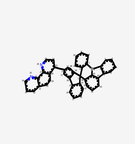 c1ccc2c(c1)B1c3ccccc3C3(c4ccccc4-c4cc(-c5ccnc6c5ccc5cccnc56)ccc43)c3cccc-2c31